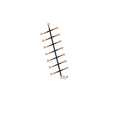 O=C(O)C(Br)(Br)C(Br)(Br)C(Br)(Br)C(Br)(Br)C(Br)(Br)C(Br)(Br)C(Br)(Br)Br